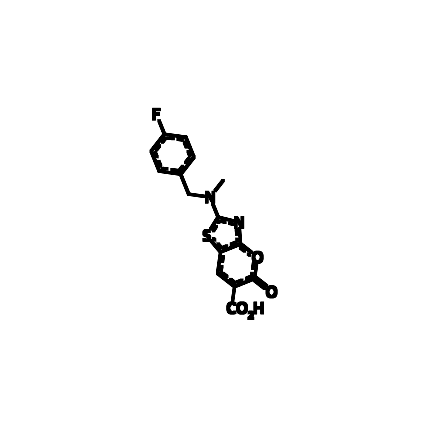 CN(Cc1ccc(F)cc1)c1nc2oc(=O)c(C(=O)O)cc2s1